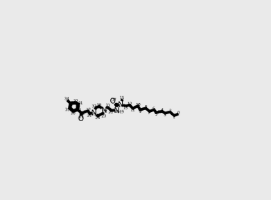 CCCCCCCCCCCCCCN(C)C(=O)N(C)CCN1CCN(CCC(=O)c2ccc(C)cc2)CC1